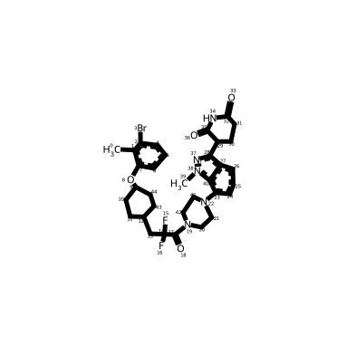 Cc1c(Br)cccc1OC1CCC(CC(F)(F)C(=O)N2CCN(c3cccc4c(C5CCC(=O)NC5=O)nn(C)c34)CC2)CC1